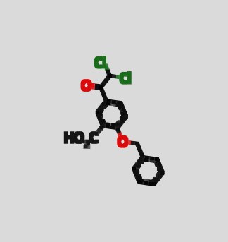 O=C(O)c1cc(C(=O)C(Cl)Cl)ccc1OCc1ccccc1